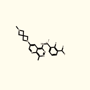 Cc1nnc(N[C@H](C)c2cccc(C(F)F)c2F)c2cc(N3CC4(CN(C)C4)C3)cnc12